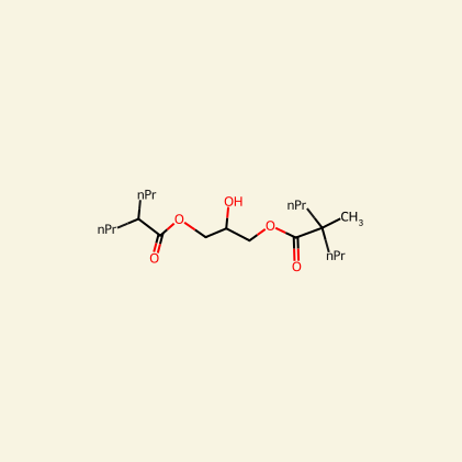 CCCC(CCC)C(=O)OCC(O)COC(=O)C(C)(CCC)CCC